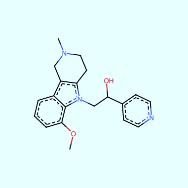 COc1cccc2c3c(n(CC(O)c4ccncc4)c12)CCN(C)C3